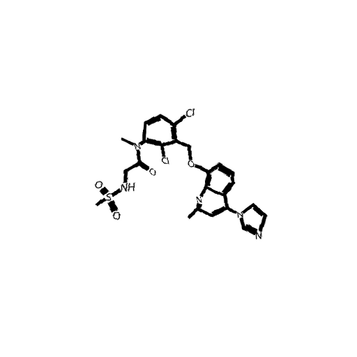 Cc1cc(-n2ccnc2)c2cccc(OCc3c(Cl)ccc(N(C)C(=O)CNS(C)(=O)=O)c3Cl)c2n1